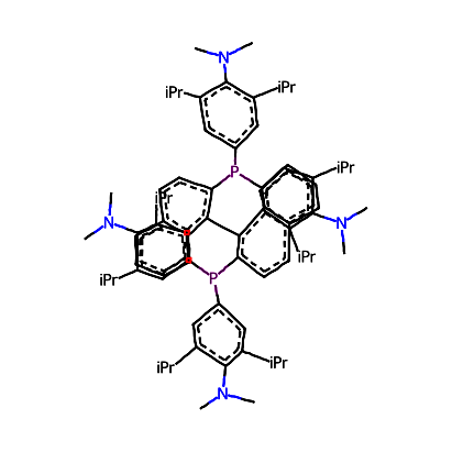 CC(C)c1cc(P(c2cc(C(C)C)c(N(C)C)c(C(C)C)c2)c2ccc3ccccc3c2-c2c(P(c3cc(C(C)C)c(N(C)C)c(C(C)C)c3)c3cc(C(C)C)c(N(C)C)c(C(C)C)c3)ccc3ccccc23)cc(C(C)C)c1N(C)C